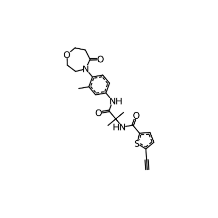 C#Cc1ccc(C(=O)NC(C)(C)C(=O)Nc2ccc(N3CCOCCC3=O)c(C)c2)s1